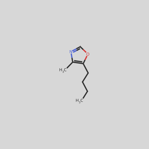 CCCCc1o[c]nc1C